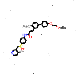 CCCCOCCOc1ccc(-c2ccc(OC)c(/C=C/C(=O)Nc3ccc([S@@+]([O-])Cc4cnccc4CC)cc3)c2)cc1